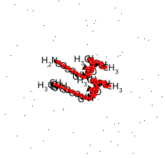 Cc1ccc(N2CCC[C@H](N(Cc3ccnc(C)c3)Cc3cn(C4CC4)c4cc(N5CC[C@H](CNC(=O)CCOCCOCCOCCOCCN)C5)c(F)cc4c3=O)C2)cn1.Cc1ccc(N2CCC[C@H](N(Cc3ccnc(C)c3)Cc3cn(C4CC4)c4cc(N5CC[C@H](CNC(=O)CCOCCOCCOCCOCCNC(=O)OC(C)(C)C)C5)c(F)cc4c3=O)C2)cn1